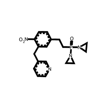 O=[N+]([O-])c1ccc(CCP(=O)(N2CC2)N2CC2)cc1Cc1cccnc1